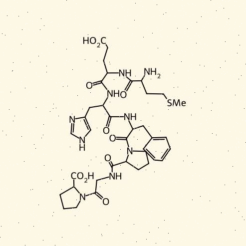 CSCCC(N)C(=O)NC(CCC(=O)O)C(=O)NC(Cc1c[nH]cn1)C(=O)NC(Cc1ccccc1)C(=O)N1CCCC1C(=O)NCC(=O)N1CCCC1C(=O)O